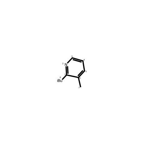 [CH2]C(CC)c1ncccc1C